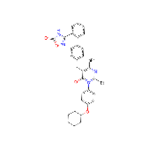 CCCc1nc(CC)n(-c2ccc(OC3CCCCC3)cc2)c(=O)c1Cc1ccc(-c2ccccc2-c2noc(=O)[nH]2)cc1